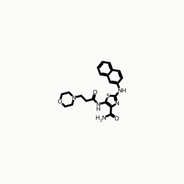 NC(=O)c1nc(Nc2ccc3ccccc3c2)sc1NC(=O)CCN1CCOCC1